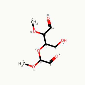 COC(C=O)OC(CO)C(C=O)OC